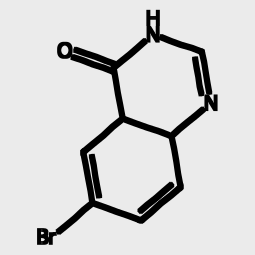 O=C1NC=NC2C=CC(Br)=CC12